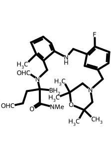 BC(CCC=O)(C(=O)NC)N(C=O)Cc1c(C)cccc1NCc1cc(CN2CC(C)(C)OC(C)(C)C2)ccc1F